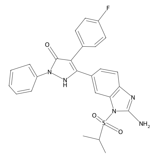 CC(C)S(=O)(=O)n1c(N)nc2ccc(-c3[nH]n(-c4ccccc4)c(=O)c3-c3ccc(F)cc3)cc21